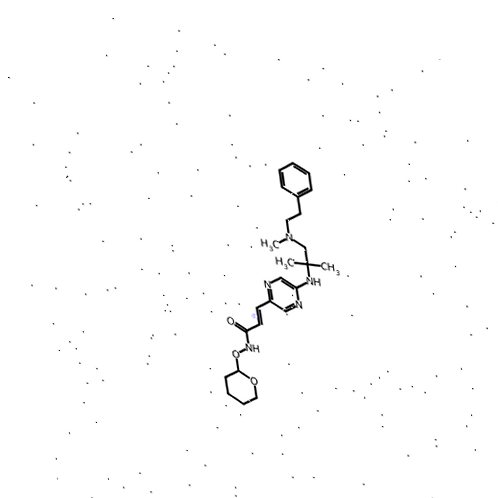 CN(CCc1ccccc1)CC(C)(C)Nc1cnc(/C=C/C(=O)NOC2CCCCO2)cn1